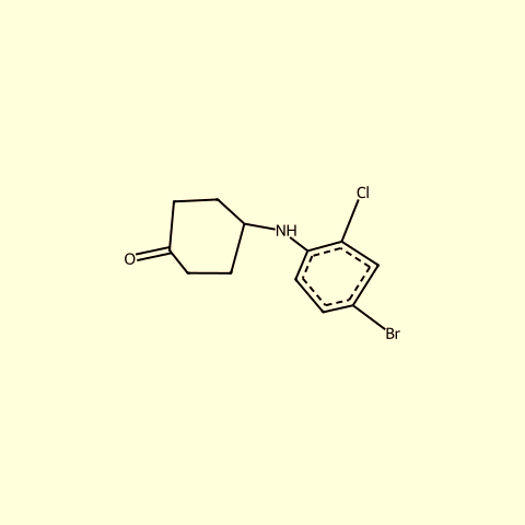 O=C1CCC(Nc2ccc(Br)cc2Cl)CC1